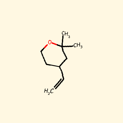 C=CC1CCOC(C)(C)C1